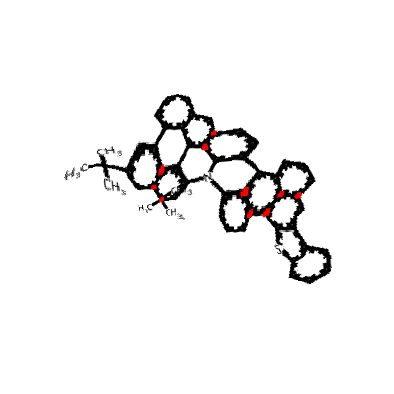 CC(C)(C)c1cc(-c2cccc3cccc(-c4ccccc4N(c4cccc(-c5cccc6c5sc5ccccc56)c4)c4ccccc4-c4cccc5ccccc45)c23)cc(C(C)(C)C)c1